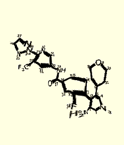 Nc1cncc(C2=CCOCC2)c1-c1ccc(C(=O)Nc2cnc(-n3nccn3)c(C(F)(F)F)c2)cc1F